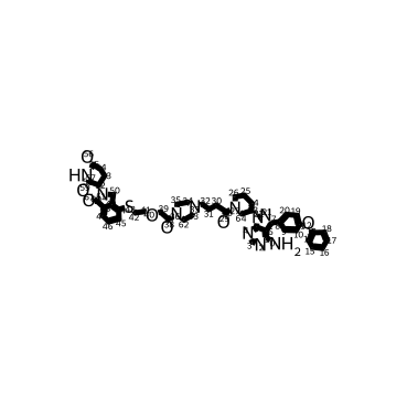 Nc1ncnc2c1c(-c1ccc(Oc3ccccc3)cc1)nn2[C@@H]1CCCN(C(=O)CCCN2CCN(C(=O)COCCSc3cccc4c3CN(C3CCC(=O)NC3=O)C4=O)CC2)C1